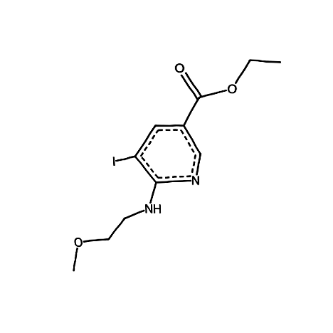 CCOC(=O)c1cnc(NCCOC)c(I)c1